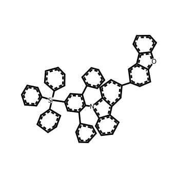 c1ccc(-c2cc([Si](c3ccccc3)(c3ccccc3)c3ccccc3)cc(-c3ccccc3)c2-n2c3ccccc3c3cc(-c4ccc5oc6ccccc6c5c4)ccc32)cc1